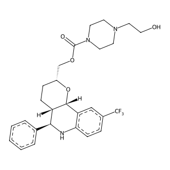 O=C(OC[C@H]1CC[C@@H]2[C@H](O1)c1cc(C(F)(F)F)ccc1N[C@H]2c1ccccc1)N1CCN(CCO)CC1